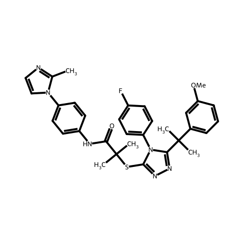 COc1cccc(C(C)(C)c2nnc(SC(C)(C)C(=O)Nc3ccc(-n4ccnc4C)cc3)n2-c2ccc(F)cc2)c1